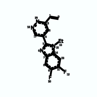 C=Cc1cc(-c2nc3cc(F)c(F)cc3n2CC)cnn1